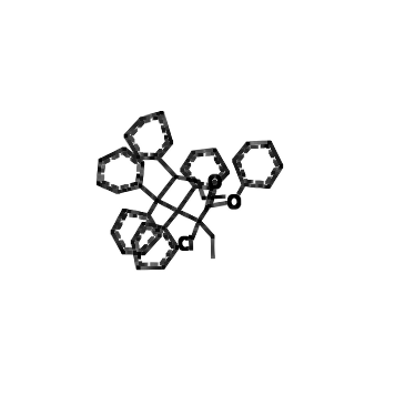 CCCC(c1ccccc1)C(c1ccccc1)(c1ccccc1)C(c1ccccc1)(c1ccccc1)C(Cl)(CC)C(=O)Oc1ccccc1